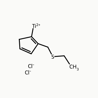 CCSCC1=[C]([Ti+2])CC=C1.[Cl-].[Cl-]